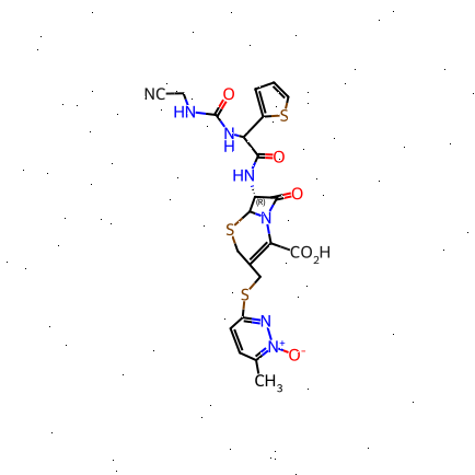 Cc1ccc(SCC2=C(C(=O)O)N3C(=O)[C@@H](NC(=O)C(NC(=O)NCC#N)c4cccs4)C3SC2)n[n+]1[O-]